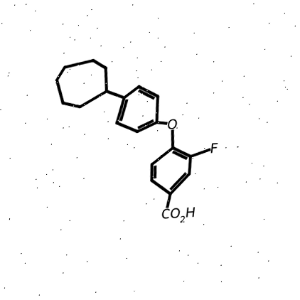 O=C(O)c1ccc(Oc2ccc(C3CCCCCC3)cc2)c(F)c1